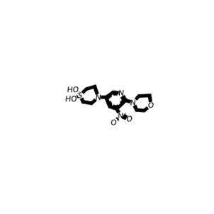 O=[N+]([O-])c1cc(N2CCS(O)(O)CC2)cnc1N1CCOCC1